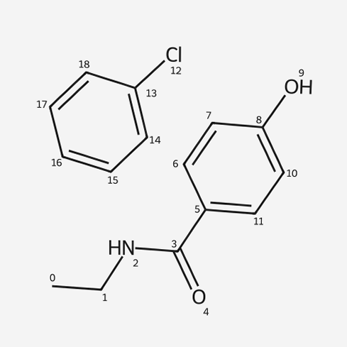 CCNC(=O)c1ccc(O)cc1.Clc1ccccc1